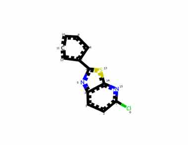 Clc1ccc2nc(-c3ccccc3)sc2n1